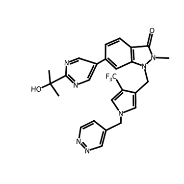 Cn1c(=O)c2ccc(-c3cnc(C(C)(C)O)nc3)cc2n1Cc1cn(Cc2ccnnc2)cc1C(F)(F)F